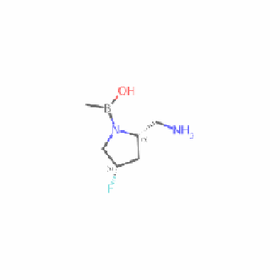 CB(O)N1C[C@@H](F)C[C@H]1CN